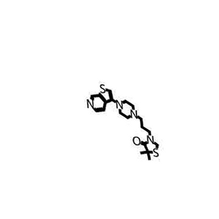 CC1(C)SCN(CCCN2CCN(c3csc4cnccc34)CC2)C1=O